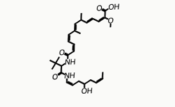 C/C=C\CC(O)C/C=C\NC(=O)C(NC(=O)\C=C/C=C\C(C)=C\C(C)/C=C/C=C(/OC)C(=O)O)C(C)(C)C